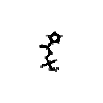 O=C(OCC(F)(F)S(=O)(=O)O)c1ccco1